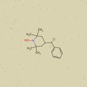 CC1(C)CC(C(Cl)c2ccccc2)CC(C)(C)N1O